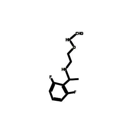 CC(NCCONC=O)c1c(F)cccc1F